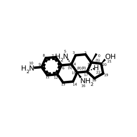 C[C@]12CC[C@]3(N)c4ccc(N)cc4CC[C@@]3(N)[C@@H]1CC[C@@H]2O